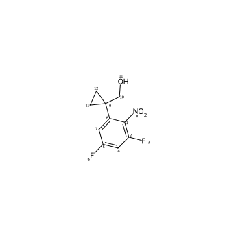 O=[N+]([O-])c1c(F)cc(F)cc1C1(CO)CC1